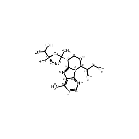 CCC(O)P(=O)(O)OC(C)(CC)[C@@H]1COC([C@H](O)CO)n2c1nc1c(N)ncnc12